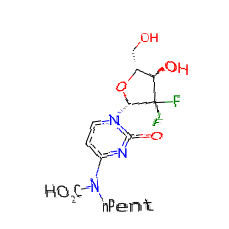 CCCCCN(C(=O)O)c1ccn([C@@H]2O[C@H](CO)[C@@H](O)C2(F)F)c(=O)n1